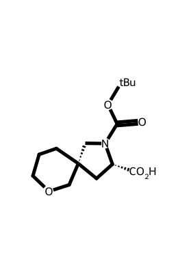 CC(C)(C)OC(=O)N1C[C@]2(CCCOC2)C[C@H]1C(=O)O